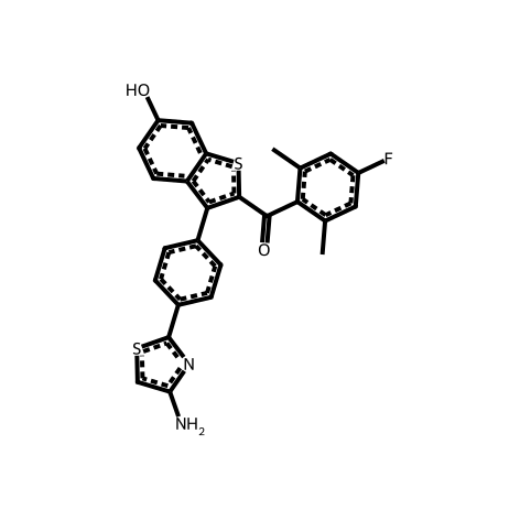 Cc1cc(F)cc(C)c1C(=O)c1sc2cc(O)ccc2c1-c1ccc(-c2nc(N)cs2)cc1